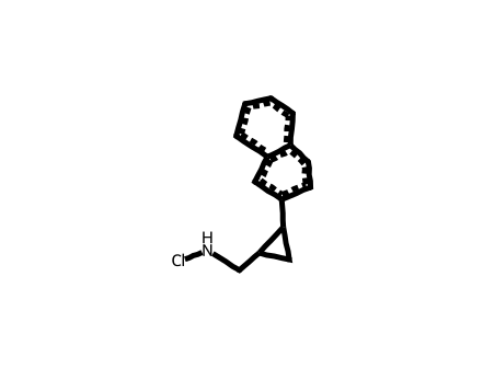 ClNCC1CC1c1ccc2ccccc2c1